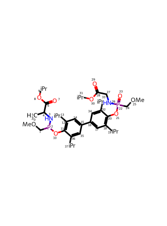 COCP(NC(C)C(=O)OC(C)C)Oc1c(C(C)C)cc(-c2cc(C(C)C)c(OP(=O)(COC)NCC(=O)OC(C)C)c(C(C)C)c2)cc1C(C)C